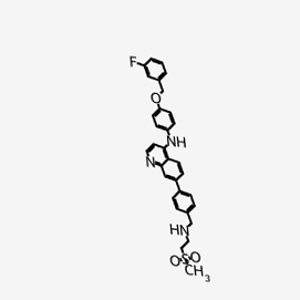 CS(=O)(=O)CCNCc1ccc(-c2ccc3c(Nc4ccc(OCc5cccc(F)c5)cc4)ccnc3c2)cc1